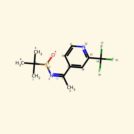 C/C(=N/[S+]([O-])C(C)(C)C)c1ccnc(C(F)(F)F)c1